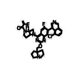 C=C(F)C(=O)N1CCC2[C@H]1CN2c1nc(OCC23CCCN2CCC3)nc2cc(-c3cncc4cccc(Cl)c34)c(F)cc12